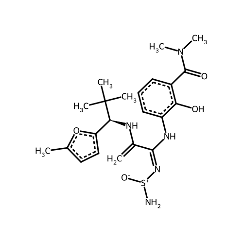 C=C(N[C@@H](c1ccc(C)o1)C(C)(C)C)/C(=N\[S+](N)[O-])Nc1cccc(C(=O)N(C)C)c1O